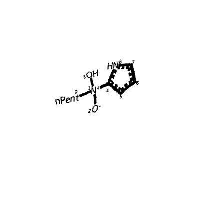 CCCCC[N+]([O-])(O)c1ccc[nH]1